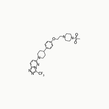 CS(=O)(=O)N1CCN(CCOc2ccc(C3CCN(c4ccc5nnc(C(F)(F)F)n5n4)CC3)cc2)CC1